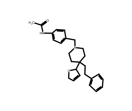 CC(=O)Nc1ccc(CN2CCC(CCc3ccccc3)(C3C=CCO3)CC2)cc1